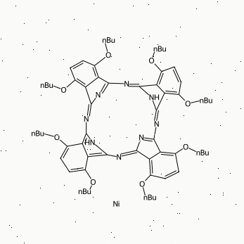 CCCCOc1ccc(OCCCC)c2c1-c1nc-2nc2[nH]c(nc3nc(nc4[nH]c(n1)c1c(OCCCC)ccc(OCCCC)c41)-c1c(OCCCC)ccc(OCCCC)c1-3)c1c(OCCCC)ccc(OCCCC)c21.[Ni]